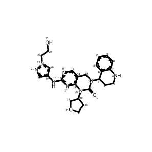 O=C1N(C2CCNc3ccccc32)Cc2cnc(Nc3cnn(CCO)c3)nc2N1C1CCOC1